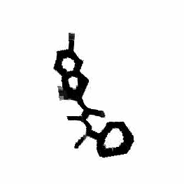 C[C@@H](c1ccccc1)N(C)C(=O)c1cc2cc(F)ccc2[nH]1